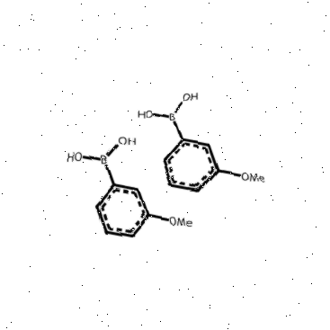 COc1cccc(B(O)O)c1.COc1cccc(B(O)O)c1